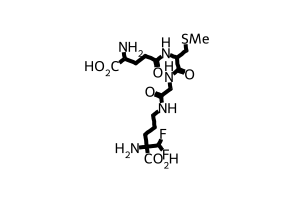 CSCC(NC(=O)CCC(N)C(=O)O)C(=O)NCC(=O)NCCCC(N)(C(=O)O)C(F)F